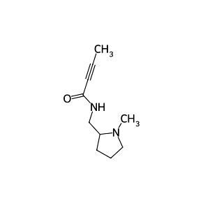 CC#CC(=O)NCC1CCCN1C